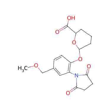 COCc1ccc(OC2CCCC(C(=O)O)O2)c(N2C(=O)CCC2=O)c1